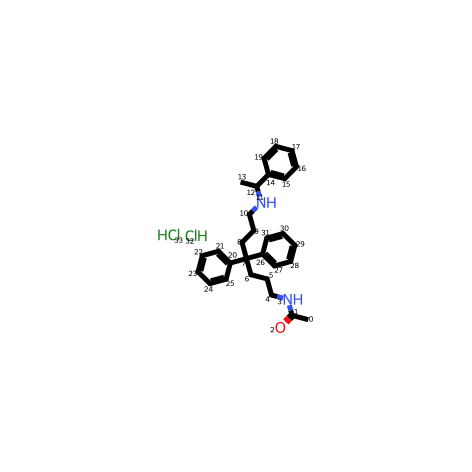 CC(=O)NCCCC(CCCNC(C)c1ccccc1)(c1ccccc1)c1ccccc1.Cl.Cl